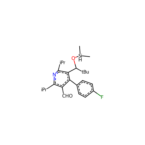 CC(C)c1nc(C(C)C)c(C(O[SiH](C)C)C(C)(C)C)c(-c2ccc(F)cc2)c1C=O